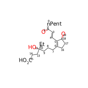 CCCCCC(=O)/C=C/C1=C(CCCC(O)(CC)CCC(=O)O)CCC1=O